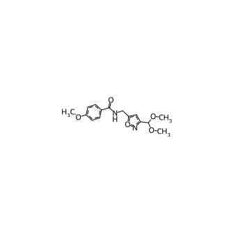 COc1ccc(C(=O)NCc2cc(C(OC)OC)no2)cc1